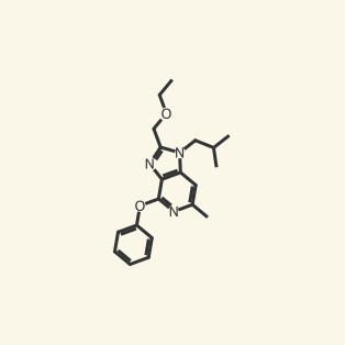 CCOCc1nc2c(Oc3ccccc3)nc(C)cc2n1CC(C)C